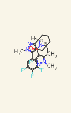 Cc1c(C(=O)N2[C@@H]3CCC[C@H]2c2nn(C)c(-c4cc(F)c(F)c(F)c4)c2C3)c(F)nn1C